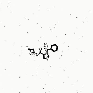 C[C@H](c1ccccc1)n1cncc1C(=O)O[C@H]1CC(=O)O1